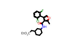 CCOC(=O)CC1CCCC(NC(=O)c2c(-c3c(F)cccc3Cl)coc2C)C1